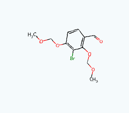 COCOc1ccc(C=O)c(OCOC)c1Br